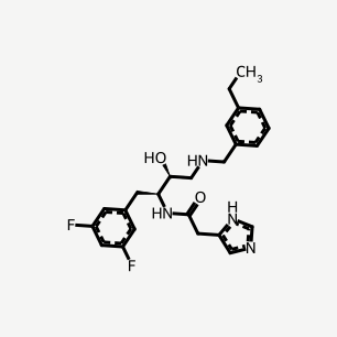 CCc1cccc(CNC[C@H](O)[C@H](Cc2cc(F)cc(F)c2)NC(=O)Cc2cnc[nH]2)c1